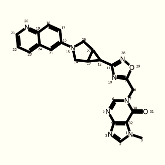 Cn1cnc2ncn(Cc3nc(C4C5CN(c6ccc7ncccc7c6)CC54)no3)c(=O)c21